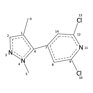 Cc1cnn(C)c1-c1cc(Cl)nc(Cl)c1